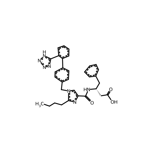 CCCCc1nc(C(=O)N[C@@H](CC(=O)O)Cc2ccccc2)cn1Cc1ccc(-c2ccccc2-c2nnn[nH]2)cc1